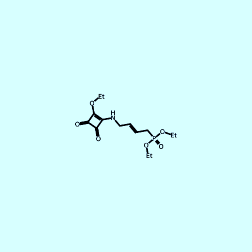 CCOc1c(NC/C=C/CP(=O)(OCC)OCC)c(=O)c1=O